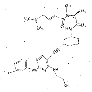 CCCNc1nc(Nc2cccc(F)c2)ncc1C#C[C@H]1CCC[C@@H](NC(=O)[C@H](C)N(C)C(=O)C=CCN(C)C)C1